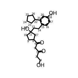 O=C(CCO)CC(=O)C1CCC(O)(CCc2ccc(O)cc2C2CCCC2)C1